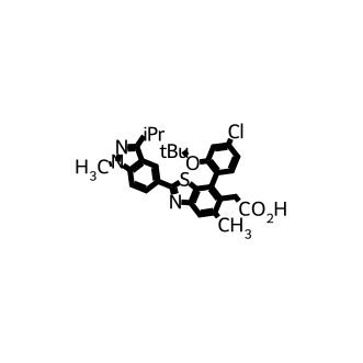 Cc1cc2nc(-c3ccc4c(c3)c(C(C)C)nn4C)sc2c(-c2ccc(Cl)cc2OC(C)(C)C)c1CC(=O)O